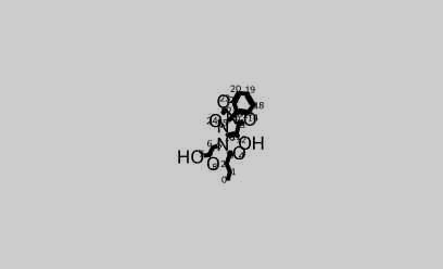 CCCC(=O)N(CC(=O)O)C1=C(O)C(=O)[N+]2(c3ccccc3)C(=O)ON12